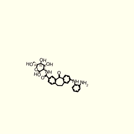 Nc1ccccc1Nc1ccc2c(c1)CCc1ccc(C(=O)N[C@@H]3[C@@H](O)[C@H](O)[C@@H](CO)O[C@H]3O)cc1C2=O